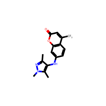 Cc1nn(C)c(C)c1Nc1ccc2c(C(F)(F)F)cc(=O)oc2c1